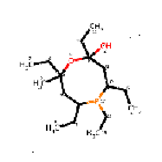 CCC1CC(C)(CC)OC(O)(CC)CC(CC)P1CC